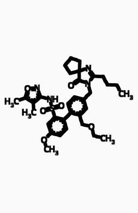 CCCCC1=NC2(CCCC2)C(=O)N1Cc1ccc(-c2ccc(OC)cc2S(=O)(=O)Nc2noc(C)c2C)c(COCC)c1